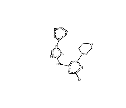 Clc1cc(Nc2ncn(-c3ccccc3)n2)cc(N2CCOCC2)n1